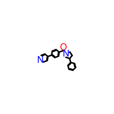 O=C(c1ccc(-c2ccncc2)cc1)N1CCC(c2ccccc2)C1